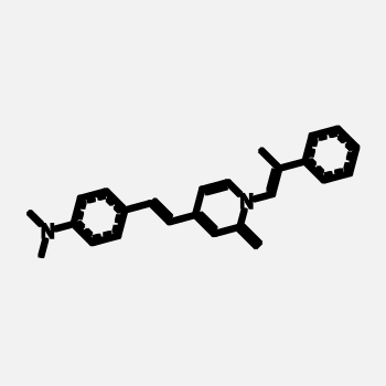 C=C1C=C(/C=C/c2ccc(N(C)C)cc2)C=CN1/C=C(\C)c1ccccc1